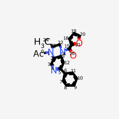 CC(=O)N1c2cnc(-c3ccccc3)cc2N(C(=O)c2ccco2)C[C@@H]1C